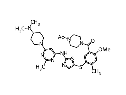 COc1cc(C)c(Sc2cnc(Nc3cc(N4CCC(N(C)C)CC4)nc(C)n3)s2)cc1C(=O)N1CCN(C(C)=O)CC1